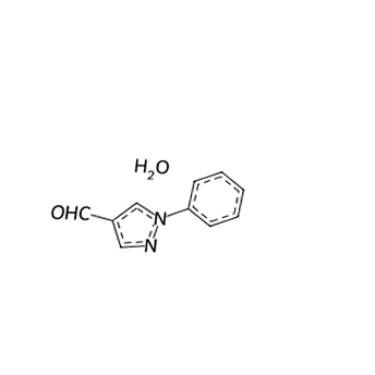 O.O=Cc1cnn(-c2ccccc2)c1